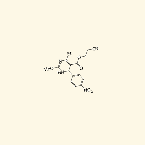 CCC1=C(C(=O)OCCC#N)C(c2ccc([N+](=O)[O-])cc2)NC(OC)=N1